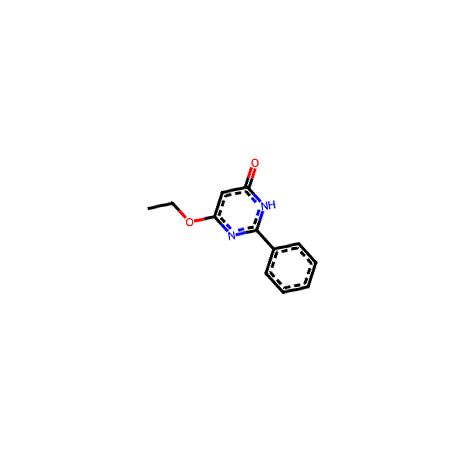 CCOc1cc(=O)[nH]c(-c2ccccc2)n1